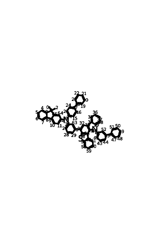 CC1(C)c2ccccc2-c2ccc(N(c3ccc(-c4ccccc4)cc3)c3cccc(-c4cc5c6ccccc6n(-c6cccc(-c7ccccc7)c6)c5c5c4sc4ccccc45)c3)cc21